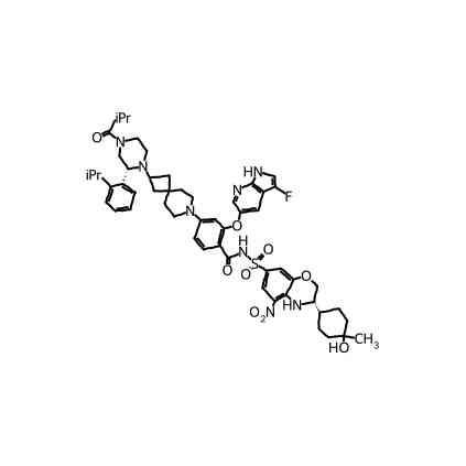 CC(C)C(=O)N1CCN(C2CC3(CCN(c4ccc(C(=O)NS(=O)(=O)c5cc6c(c([N+](=O)[O-])c5)N[C@@H](C5CCC(C)(O)CC5)CO6)c(Oc5cnc6[nH]cc(F)c6c5)c4)CC3)C2)[C@H](c2ccccc2C(C)C)C1